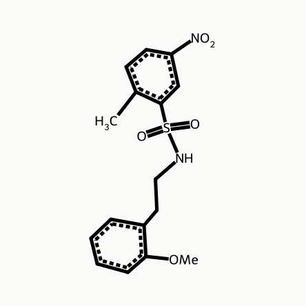 COc1ccccc1CCNS(=O)(=O)c1cc([N+](=O)[O-])ccc1C